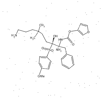 COc1ccc(S(=O)(=O)[C@](O)(CCC(C)(C)CCCN)[C@](N)(Cc2ccccc2)NC(=O)Oc2ccoc2)cc1